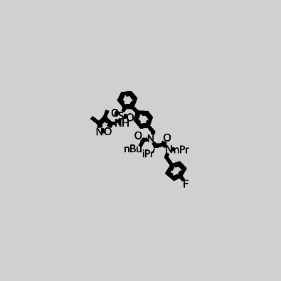 CCCCC(=O)N(Cc1ccc(-c2ccccc2S(=O)(=O)Nc2onc(C)c2C)cc1)[C@H](C(=O)N(CCC)Cc1ccc(F)cc1)C(C)C